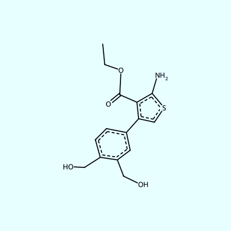 CCOC(=O)c1c(-c2ccc(CO)c(CO)c2)csc1N